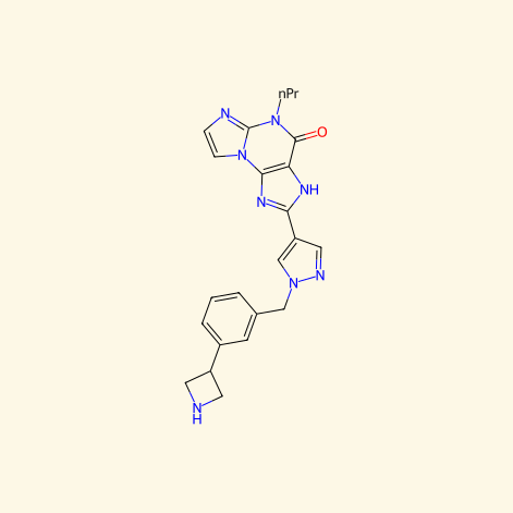 CCCn1c(=O)c2[nH]c(-c3cnn(Cc4cccc(C5CNC5)c4)c3)nc2n2ccnc12